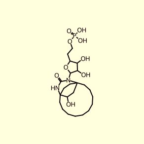 O=C1NC23CCCCCCCCCCC(CC2)(CC3O)N1C1OC(CCOP(=O)(O)O)C(O)C1O